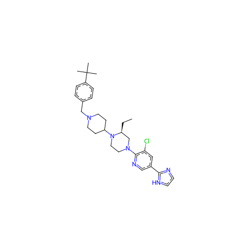 CC[C@H]1CN(c2ncc(-c3ncc[nH]3)cc2Cl)CCN1C1CCN(Cc2ccc(C(C)(C)C)cc2)CC1